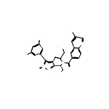 CCC1Cc2c(nn(C)c2-c2cc(F)cc(F)c2)C(CC)N1C(=O)c1ccc2ncc(Br)cc2c1